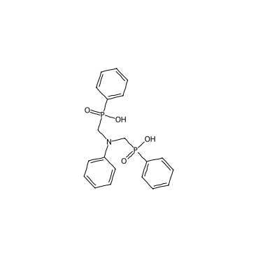 O=P(O)(CN(CP(=O)(O)c1ccccc1)c1ccccc1)c1ccccc1